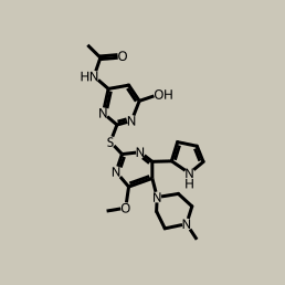 COc1nc(Sc2nc(O)cc(NC(C)=O)n2)nc(-c2ccc[nH]2)c1N1CCN(C)CC1